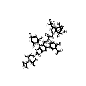 CC(=O)c1cc(-c2cc3sc(N4CC(C)N(C5COC5)C(C)C4)nc3nc2[C@H](Cc2cc(F)cc(F)c2)NC(=O)Cn2nc(C(F)(F)F)c3c2C(F)(F)[C@@H]2C[C@H]32)ccc1F